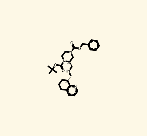 CC(C)(C)OC(=O)N1CCN(C(=O)OCc2ccccc2)C[C@H]1CNC[C@H]1CCCc2cccnc21